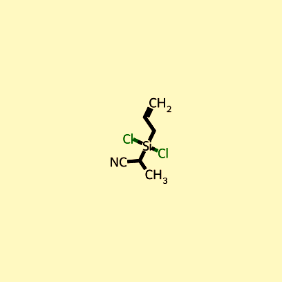 C=CC[Si](Cl)(Cl)C(C)C#N